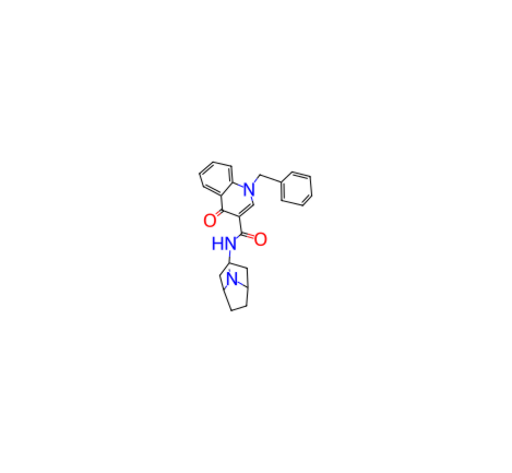 CN1C2CCC1CC(NC(=O)c1cn(Cc3ccccc3)c3ccccc3c1=O)C2